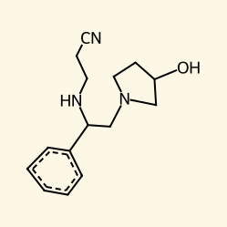 N#CCCNC(CN1CCC(O)C1)c1ccccc1